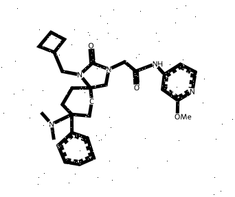 COc1cc(NC(=O)CN2CC3(CCC(c4ccccc4)(N(C)C)CC3)N(CC3CCC3)C2=O)ccn1